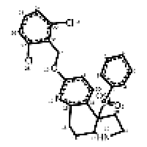 O=S(=O)(c1ccccc1)C12CCNC1CCc1nc(OCc3c(Cl)cccc3Cl)ccc12